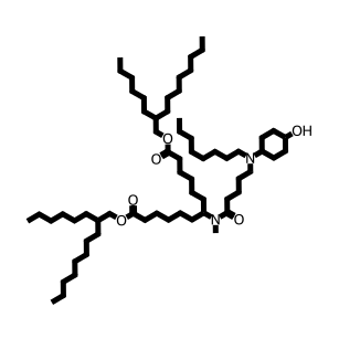 CCCCCCCCC(CCCCCC)COC(=O)CCCCCC(CCCCCC(=O)OCC(CCCCCC)CCCCCCCC)N(C)C(=O)CCCCN(CCCCCCCC)C1CCC(O)CC1